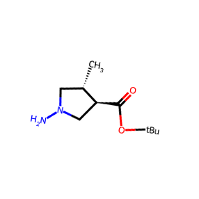 C[C@H]1CN(N)C[C@@H]1C(=O)OC(C)(C)C